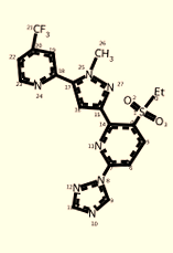 CCS(=O)(=O)c1ccc(-n2cncn2)nc1-c1cc(-c2cc(C(F)(F)F)ccn2)n(C)n1